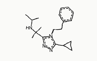 CC(C)NC(C)(C)c1nnc(C2CC2)n1CCc1ccccc1